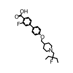 CCC(F)(CC)CN1CCC(COc2ccc(-c3ccc(C(=O)O)c(F)c3)cc2)CC1